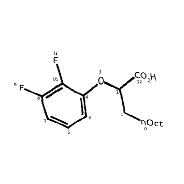 CCCCCCCCCC(Oc1cccc(F)c1F)C(=O)O